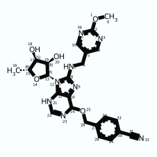 COc1ncc(CNc2nc3c(n2[C@@H]2O[C@H](C)[C@@H](O)[C@H]2O)NC=NC3OCc2ccc(C#N)cc2)cn1